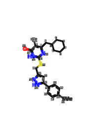 CCc1c(CC2CCCCC2)nc(SCc2cc(-c3ccc(SC)cc3)[nH]n2)[nH]c1=O